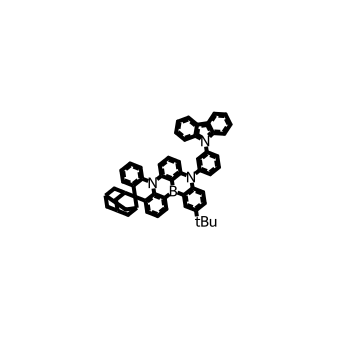 CC(C)(C)c1ccc2c(c1)B1c3cccc4c3N(c3ccccc3C43C4CC5CC(C4)CC3C5)c3cccc(c31)N2c1cccc(-n2c3ccccc3c3ccccc32)c1